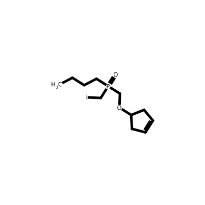 CCCCP(=O)(CI)COC1CC=CC1